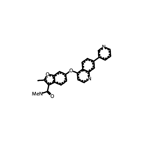 CNC(=O)c1c(C)oc2cc(Oc3ccnc4cc(-c5cccnc5)ccc34)ccc12